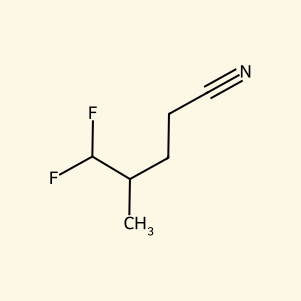 CC(CCC#N)C(F)F